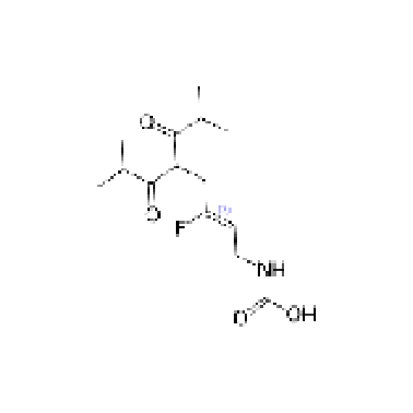 CC(C)C(=O)C(C/C(F)=C/CNC(=O)O)C(=O)C(C)C